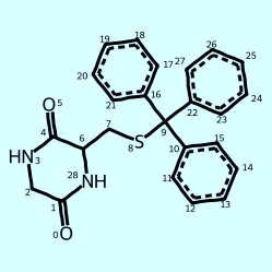 O=C1CNC(=O)C(CSC(c2ccccc2)(c2ccccc2)c2ccccc2)N1